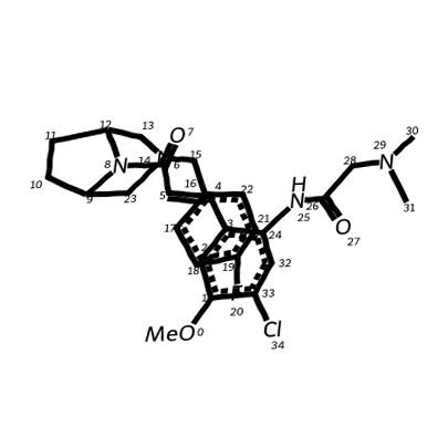 COc1cc(C=CC(=O)N2C3CCC2CN(Cc2ccc(F)cc2)C3)c(NC(=O)CN(C)C)cc1Cl